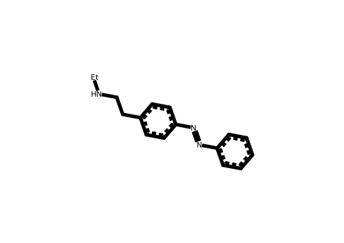 CCNCCc1ccc(/N=N/c2ccccc2)cc1